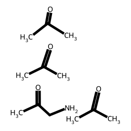 CC(=O)CN.CC(C)=O.CC(C)=O.CC(C)=O